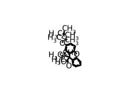 CC(C)(C)[Si](C)(C)Oc1ccc2c(c1)C(C(=O)O)([Si](C)(C)C)c1ccccc1O2